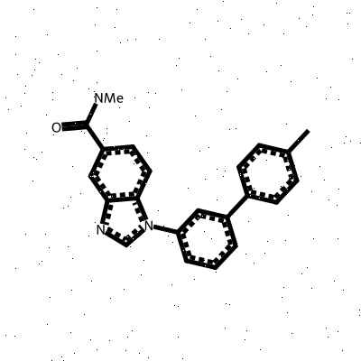 CNC(=O)c1ccc2c(c1)ncn2-c1cccc(-c2ccc(C)cc2)c1